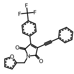 O=C1C(C#Cc2ccccc2)=C(c2ccc(C(F)(F)F)cc2)C(=O)N1Cc1ccco1